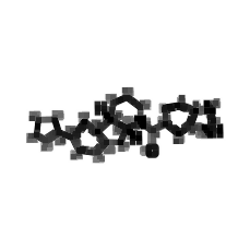 O=C(c1ccc2nc[nH]c2c1)N1CCC[C@H]2c3cc(C4=CCCC4)ccc3C[C@H]21